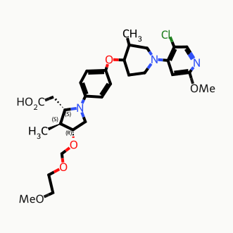 COCCOCO[C@H]1CN(c2ccc(OC3CCN(c4cc(OC)ncc4Cl)CC3C)cc2)[C@@H](CC(=O)O)[C@@H]1C